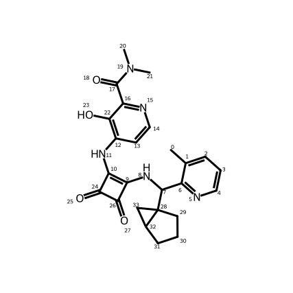 Cc1cccnc1C(Nc1c(Nc2ccnc(C(=O)N(C)C)c2O)c(=O)c1=O)C12CCCC1C2